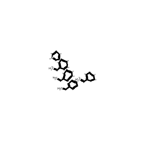 C=Cc1ccccc1.C=Cc1ccccc1.C=Cc1ccccc1.C=Cc1ccccc1.c1ccncc1